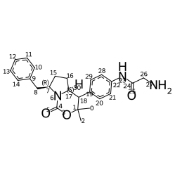 CC1(C)OC(=O)N2[C@@H](Cc3ccccc3)CC[C@H]2C1c1ccc(NC(=O)CN)cc1